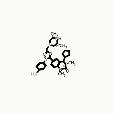 Cc1ccc(-n2nc(CN3C[C@@H](C)N[C@@H](C)C3)nc2-c2ccc3c(c2)C(C2CCCC2)[C@H](C)C(=O)N3C)cc1